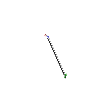 O=C=NCCCCCCCCCCCCCCCCCCCCCCCCCCCCCCCCC[SiH](Cl)Cl